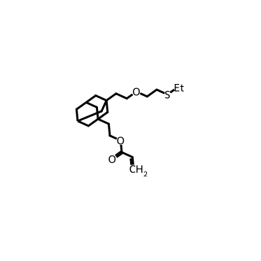 C=CC(=O)OCCC12CC3CC(CC(CCOCCSCC)(C3)C1)C2